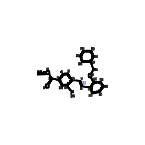 COC(=O)c1ccc(/C=C/c2ccccc2OCc2ccccc2)c(F)c1